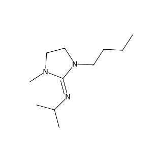 CCCCN1CCN(C)/C1=N\C(C)C